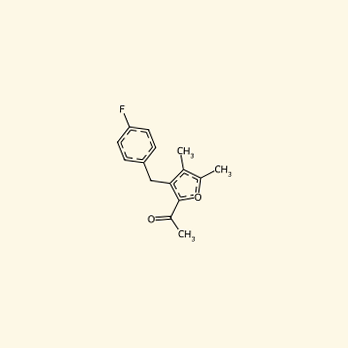 CC(=O)c1oc(C)c(C)c1Cc1ccc(F)cc1